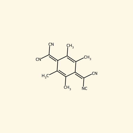 [C-]#[N+]C(C#N)=c1c(C)c(C)c(=C(C#N)[N+]#[C-])c(C)c1C